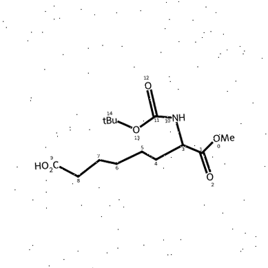 COC(=O)C(CCCCCC(=O)O)NC(=O)OC(C)(C)C